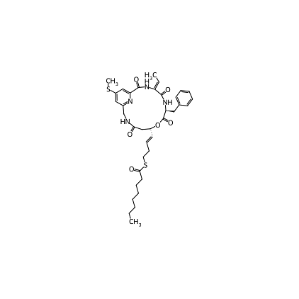 C/C=C1\NC(=O)c2cc(SC)cc(n2)CNC(=O)C[C@@H](/C=C/CCSC(=O)CCCCCCC)OC(=O)[C@H](Cc2ccccc2)NC1=O